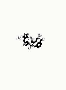 C=CCC1C(=O)N(c2cnn(Cc3c(C)noc3C)c2)C(=O)N1Cc1cccc(C=O)c1